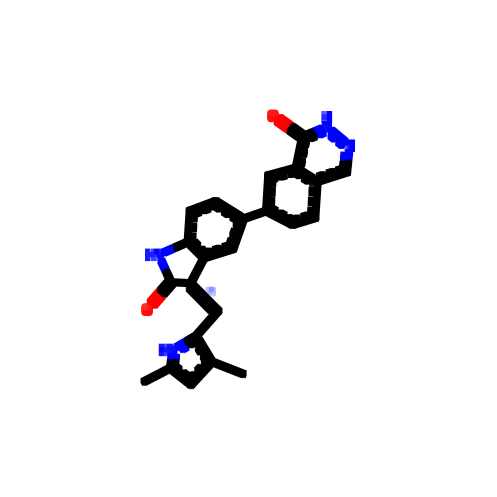 Cc1cc(C)c(/C=C2\C(=O)Nc3ccc(-c4ccc5cn[nH]c(=O)c5c4)cc32)[nH]1